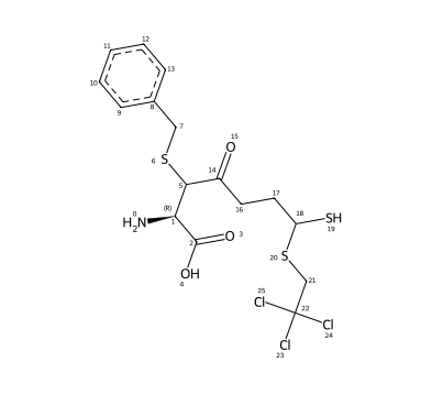 N[C@H](C(=O)O)C(SCc1ccccc1)C(=O)CCC(S)SCC(Cl)(Cl)Cl